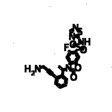 CC(c1ccccc1C#CCN)n1c(=O)oc2cc(S(=O)(=O)Nc3ncns3)c(F)cc21